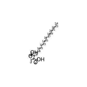 CC=C(C(=O)O)C(CCCCCCCCCCCCCCCCCC)C(=O)O